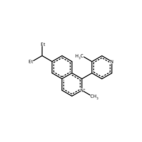 CCC(CC)c1ccc2c(-c3ccncc3C)[n+](C)ccc2c1